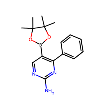 CC1(C)OB(c2cnc(N)nc2-c2ccccc2)OC1(C)C